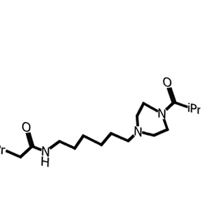 CC(C)CC(=O)NCCCCCCN1CCN(C(=O)C(C)C)CC1